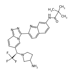 CC(C)(C)C(=O)Nc1ccc2ccc(-c3nnc4ccc([C@@H](N5CCC(N)C5)C(F)(F)F)cn34)nc2c1